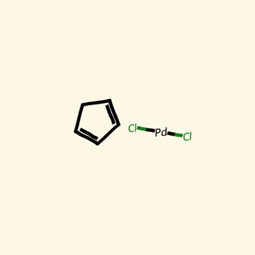 C1=CCC=C1.[Cl][Pd][Cl]